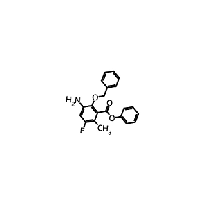 Cc1c(F)cc(N)c(OCc2ccccc2)c1C(=O)Oc1ccccc1